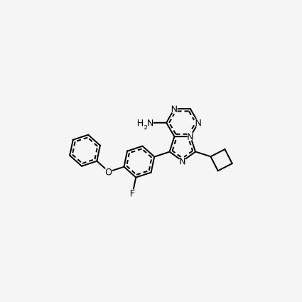 Nc1ncnn2c(C3CCC3)nc(-c3ccc(Oc4ccccc4)c(F)c3)c12